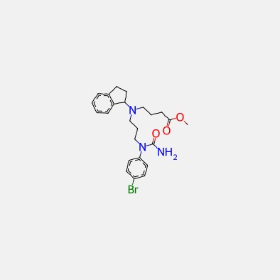 COC(=O)CCCN(CCCN(C(N)=O)c1ccc(Br)cc1)C1CCc2ccccc21